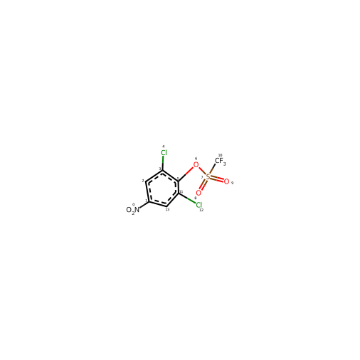 O=[N+]([O-])c1cc(Cl)c(OS(=O)(=O)C(F)(F)F)c(Cl)c1